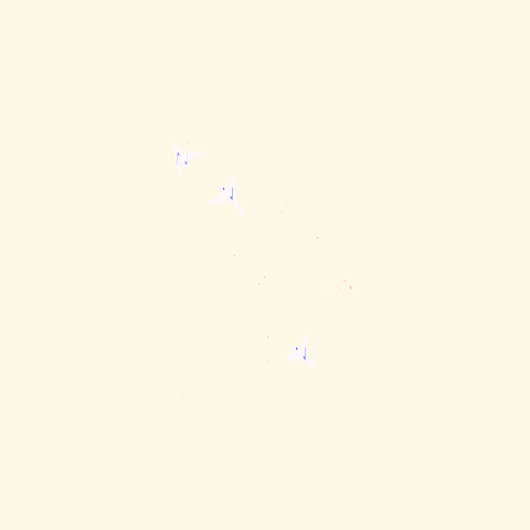 CCC(Cc1ccc(C)cc1)(C(=O)c1ccc(N2CCN(C)CC2)cc1)N(C)C